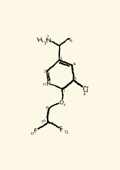 CC(N)C1=CC(Cl)C(OCC(F)F)N=C1